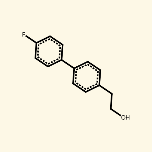 OCCc1ccc(-c2ccc(F)cc2)cc1